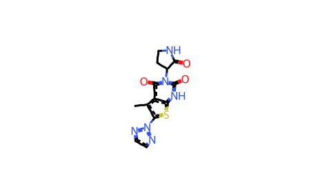 Cc1c(-n2nccn2)sc2[nH]c(=O)n(C3CCNC3=O)c(=O)c12